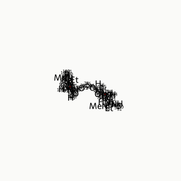 CC[C@H](NC)C(=O)N[C@@H]1C(=O)N2C(C(=O)NC(C(=O)NCCOCc3ccc(COCCNC(=O)C(NC(=O)[C@@H]4CC[C@@H]5CC[C@H](CNCc6ccccc6)[C@H](NC(=O)[C@H](CC)NC)C(=O)N54)(c4ccccc4)c4ccccc4)cc3)(c3ccccc3)c3ccccc3)CC[C@@H]2CC[C@@H]1CNCc1ccccc1